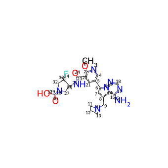 COc1ncc(-c2cc(CN3CCC3)c3c(N)ncnn23)cc1C(=O)N[C@@H]1CN(C(=O)O)C[C@@H]1F